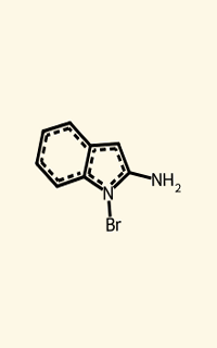 Nc1cc2ccccc2n1Br